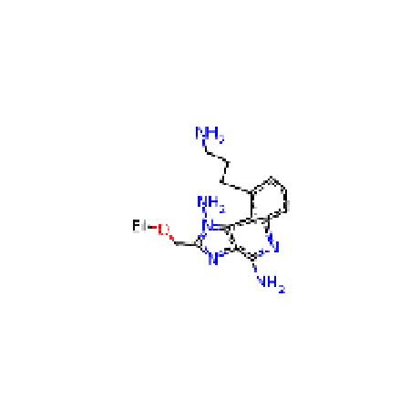 CCOCc1nc2c(N)nc3cccc(CCCN)c3c2n1N